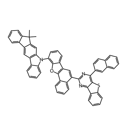 CC1(C)c2ccccc2-c2cc3c4ccccc4n(-c4cccc5c4oc4c6ccccc6c(-c6nc(-c7ccc8ccccc8c7)c7sc8ccccc8c7n6)cc54)c3cc21